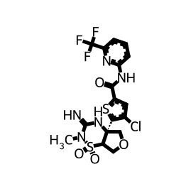 CN1C(=N)N[C@@]2(c3sc(C(=O)Nc4cccc(C(F)(F)F)n4)cc3Cl)COCC2S1(=O)=O